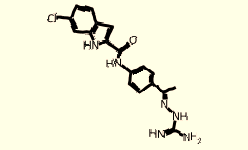 C/C(=N\NC(=N)N)c1ccc(NC(=O)c2cc3ccc(Cl)cc3[nH]2)cc1